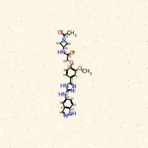 COc1cc(-c2nnc(Nc3ccc4[nH]ncc4c3)[nH]2)ccc1OCC(=O)NC1CN(C(C)=O)C1